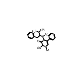 CCC(C)C1C(=O)N(N(C(C)=O)C(Cc2ccccc2)C(O)C(F)(F)F)C(c2ccccc2)=CN1C(C)=O